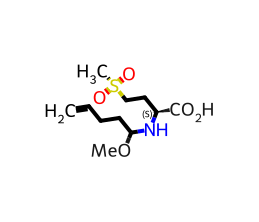 C=CCCC(N[C@@H](CCS(C)(=O)=O)C(=O)O)OC